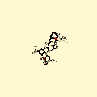 CC(C)C[C@@H]([C@@H](O)c1nccs1)N(c1ccc([N+](=O)[O-])cc1[N+](=O)[O-])[C@@H](Cc1c[nH]cn1)C(=O)NC(=O)[C@H](Cc1ccccc1)NC(=O)OC(C)(C)C